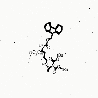 C=C(NCCC[C@H](NC(=O)OCC1c2ccccc2-c2ccccc21)C(=O)O)N(C(=O)OC(C)(C)C)C(=O)OC(C)(C)C